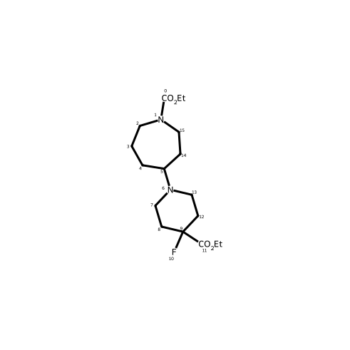 CCOC(=O)N1CCCC(N2CCC(F)(C(=O)OCC)CC2)CC1